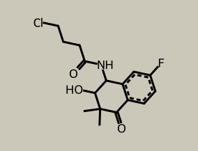 CC1(C)C(=O)c2ccc(F)cc2C(NC(=O)CCCCl)C1O